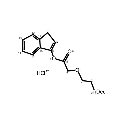 CCCCCCCCCCCCOCC(=O)OC1=CCc2ccccc21.Cl